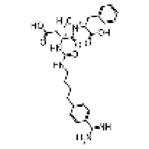 CN(C(=O)[C@H](CC(=O)O)NC(=O)NCCCCc1ccc(C(=N)N)cc1)[C@@H](Cc1ccccc1)C(=O)O